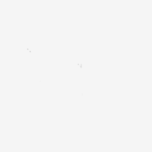 Oc1ccc(Oc2cncc(C(Br)=C[C@@H]3CCCN3)c2)cc1